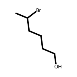 CC(Br)CCCCO